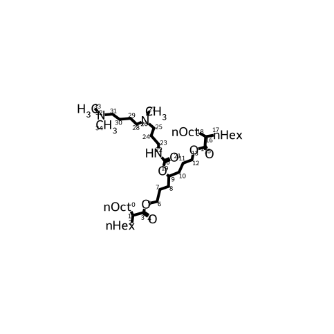 CCCCCCCCC(CCCCCC)C(=O)OCCCC(CCCOC(=O)C(CCCCCC)CCCCCCCC)OC(=O)NCCCN(C)CCCCN(C)C